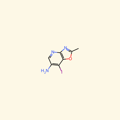 Cc1nc2ncc(N)c(I)c2o1